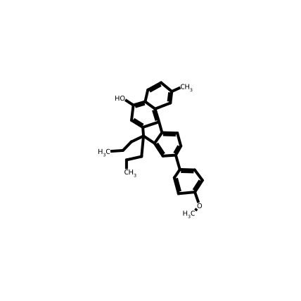 CCCC1(CCC)c2cc(-c3ccc(OC)cc3)ccc2-c2c1cc(O)c1ccc(C)cc21